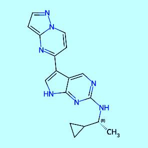 C[C@@H](Nc1ncc2c(-c3ccn4nccc4n3)c[nH]c2n1)C1CC1